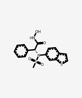 CS(=O)(=O)N(c1ccc2ccsc2c1)[C@@H](C(=O)NO)c1ccccc1